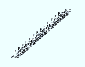 COC(F)(F)C(OC(F)(F)C(OC(F)(F)C(OC(F)(F)C(OC(F)(F)C(OC(F)(F)C(OC(F)(F)C(OC(F)(F)C(OC(F)(F)C(OC(F)(F)C(OC(F)(F)C(OC(F)(F)C(OC(F)(F)C(OC(F)(F)CC(F)(F)F)C(F)(F)F)C(F)(F)F)C(F)(F)F)C(F)(F)F)C(F)(F)F)C(F)(F)F)C(F)(F)F)C(F)(F)F)C(F)(F)F)C(F)(F)F)C(F)(F)F)C(F)(F)F)C(F)(F)F